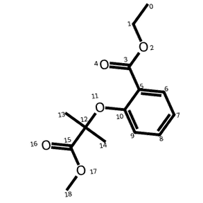 CCOC(=O)c1ccccc1OC(C)(C)C(=O)OC